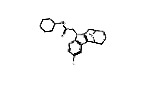 CN1C2CCCC1c1c(n(CC(=O)NC3CCCCC3)c3ccc(Cl)cc13)C2